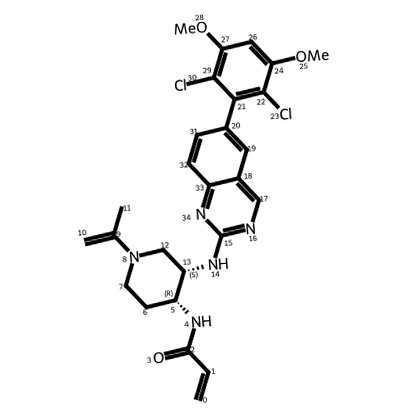 C=CC(=O)N[C@@H]1CCN(C(=C)C)C[C@@H]1Nc1ncc2cc(-c3c(Cl)c(OC)cc(OC)c3Cl)ccc2n1